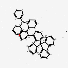 c1ccc(N(c2ccccc2)c2ccccc2-c2ccccc2-c2cccc3c2-c2ccccc2C32c3ccccc3-c3ccccc32)cc1